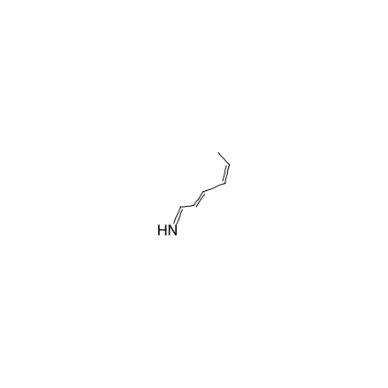 C/C=C\C=C\C=N